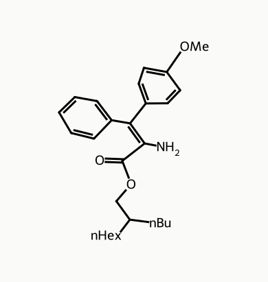 CCCCCCC(CCCC)COC(=O)/C(N)=C(\c1ccccc1)c1ccc(OC)cc1